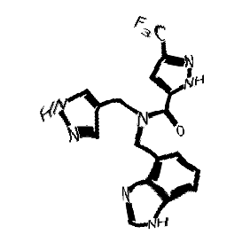 O=C(c1cc(C(F)(F)F)n[nH]1)N(Cc1cn[nH]c1)Cc1cccc2[nH]cnc12